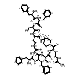 CC(C)C[C@@H](NC(=O)[C@@H](Cc1ccccc1)NC(=O)[C@H](N)Cc1ccccc1)C(=O)N[C@H](CCNC(=N)N)C(=O)NC1(C(=O)O)CCN(C(=O)[C@@H](CCNC(=N)N)NC(=O)[C@@H](CC(C)C)NC(=O)[C@@H](CCc2ccccc2)NC(=O)[C@H](N)Cc2ccccc2)CC1